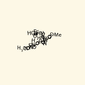 COc1ccc(Cn2nc(N[C@@H]3CCCNC3)c3c(Oc4ccc(C(=O)Nc5nc6c(s5)CN(C)CC6)cc4)ccnc32)cc1.O=C(O)C(F)(F)F